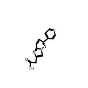 O=C(O)Cc1cn2nc(-c3ccncc3)ccc2n1